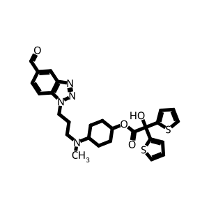 CN(CCCn1nnc2cc(C=O)ccc21)C1CCC(OC(=O)C(O)(c2cccs2)c2cccs2)CC1